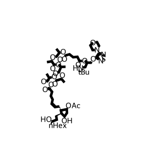 CCCCCC[C@@H](O)CC[C@H]1[C@H](C/C=C\CCCC(=O)OC(=O)C(C)OC(=O)C(C)OC(=O)C(C)OC(=O)C(C)OC(=O)C(C)OC(=O)CCCC(=O)OC(CNC(C)(C)C)COc2nsnc2N2CCOCC2)[C@H](OC(C)=O)C[C@@H]1O